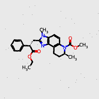 CCOC(=O)[C@@H](Cc1nc2c3c(ccc2n1C)N(C(=O)OC)[C@@H](C)CC3)c1ccccc1